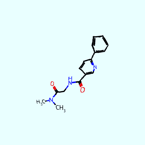 CN(C)C(=O)CNC(=O)c1ccc(-c2ccccc2)nc1